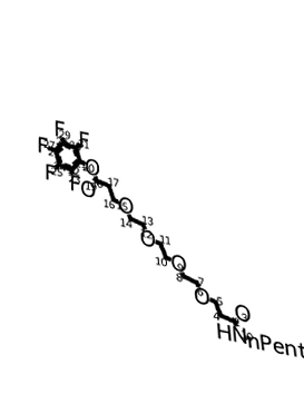 CCCCCNC(=O)CCOCCOCCOCCOCCC(=O)Oc1c(F)c(F)c(F)c(F)c1F